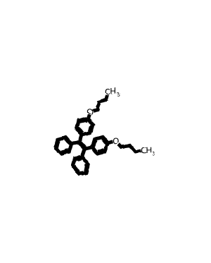 CCCCOc1ccc(C(=C(c2ccccc2)c2ccc(OCCCC)cc2)c2ccccc2)cc1